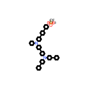 O=S(=O)(Oc1ccc(-c2ccc(-c3ccc(N(c4ccccc4)c4ccc(-c5ccc(N(c6ccc(-c7ccccc7)cc6)c6ccc(-c7ccccc7)cc6)cc5)cc4)cc3)cc2)cc1)C(F)(F)F